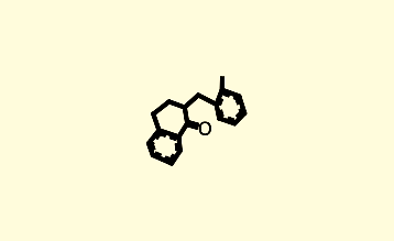 Cc1ccccc1CC1CCc2ccccc2C1=O